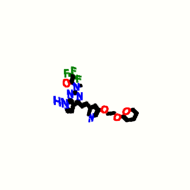 CN(C(=O)C(F)(F)F)c1nc(/C=C/c2cncc(OCCOC3CCCCO3)c2)c2cc[nH]c2n1